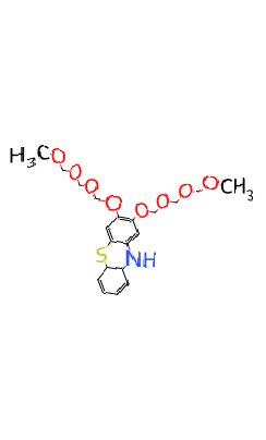 COCOCOCOc1cc2c(cc1OCOCOCOC)SC1C=CC=CC1N2